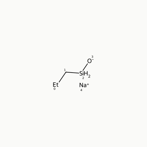 CCC[SiH2][O-].[Na+]